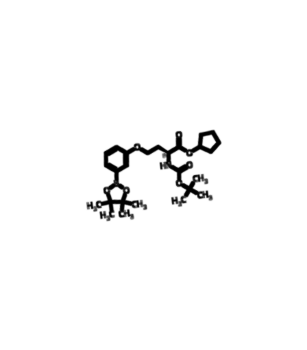 CC(C)(C)OC(=O)N[C@@H](CCOc1cccc(B2OC(C)(C)C(C)(C)O2)c1)C(=O)OC1CCCC1